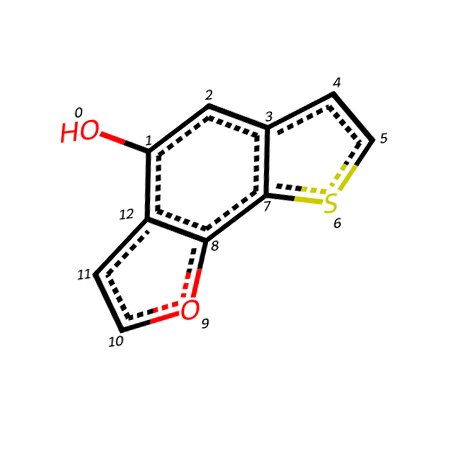 Oc1cc2ccsc2c2occc12